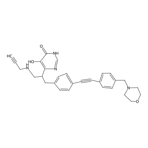 C#CCNCC(Cc1ccc(C#Cc2ccc(CN3CCOCC3)cc2)cc1)c1nc[nH]c(=O)c1O